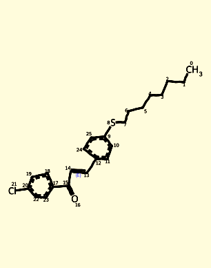 CCCCCCCCSc1ccc(/C=C/C(=O)c2ccc(Cl)cc2)cc1